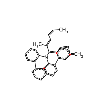 C=C\C=C/C=C(\C(C)=C\C=C/C)N(c1ccccc1-c1ccccc1)c1ccccc1-c1ccccc1